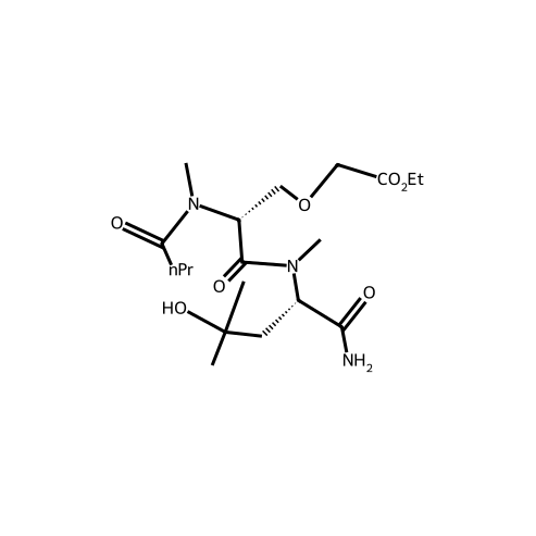 CCCC(=O)N(C)[C@H](COCC(=O)OCC)C(=O)N(C)[C@@H](CC(C)(C)O)C(N)=O